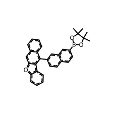 CC1(C)OB(c2ccc3ccc(-c4c5ccccc5cc5oc6ccccc6c45)cc3c2)OC1(C)C